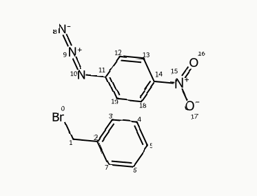 BrCc1ccccc1.[N-]=[N+]=Nc1ccc([N+](=O)[O-])cc1